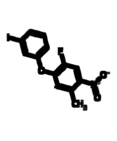 Cc1[c]c(Oc2cccc(I)c2)c(F)cc1[N+](=O)[O-]